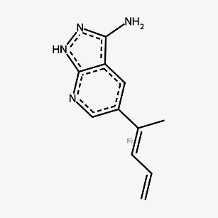 C=C/C=C(\C)c1cnc2[nH]nc(N)c2c1